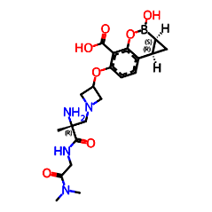 CN(C)C(=O)CNC(=O)[C@](C)(N)CN1CC(Oc2ccc3c(c2C(=O)O)OB(O)[C@H]2C[C@@H]32)C1